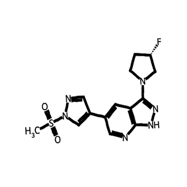 CS(=O)(=O)n1cc(-c2cnc3[nH]nc(N4CC[C@H](F)C4)c3c2)cn1